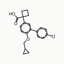 O=C(O)C1(c2ccc(OCC3CC3)c(-c3ccc(Cl)cc3)c2)CCC1